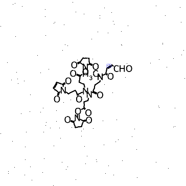 CN(CCC(=O)N(CCC(=O)ON1C(=O)CCC1=O)N(CCC(=O)ON1C(=O)CCC1=O)C(=O)CCN1C(=O)C=CC1=O)C(=O)/C=C\C=O